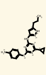 CCCc1cc(Nc2nc(Sc3ccc(N)cc3)nc(C3CC3)n2)n[nH]1